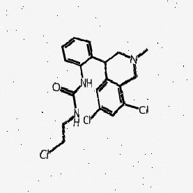 CN1Cc2c(Cl)cc(Cl)cc2C(c2ccccc2NC(=O)NCCCl)C1